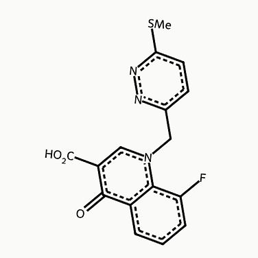 CSc1ccc(Cn2cc(C(=O)O)c(=O)c3cccc(F)c32)nn1